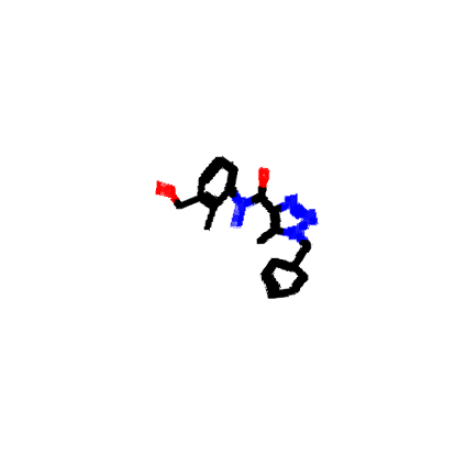 Cc1c(CO)cccc1NC(=O)c1nnn(Cc2ccccc2)c1C